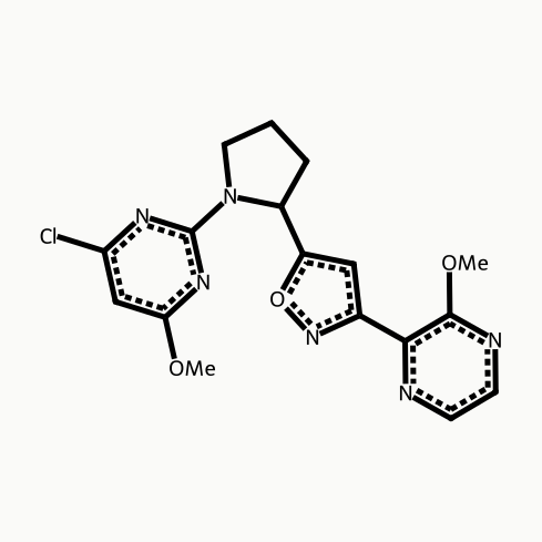 COc1cc(Cl)nc(N2CCCC2c2cc(-c3nccnc3OC)no2)n1